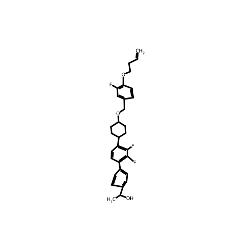 C=CCCOc1ccc(COC2CCC(c3ccc(-c4ccc(C(C)O)cc4)c(F)c3F)CC2)cc1F